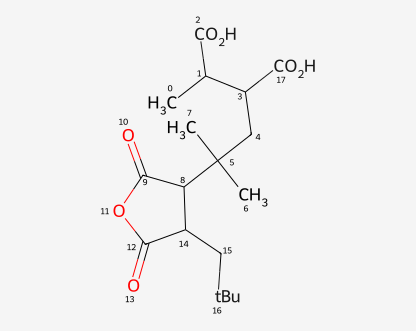 CC(C(=O)O)C(CC(C)(C)C1C(=O)OC(=O)C1CC(C)(C)C)C(=O)O